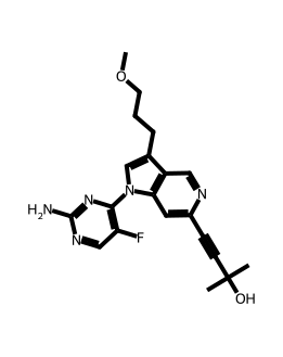 COCCCc1cn(-c2nc(N)ncc2F)c2cc(C#CC(C)(C)O)ncc12